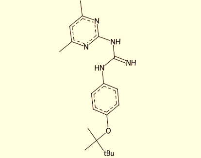 Cc1cc(C)nc(NC(=N)Nc2ccc(OC(C)(C)C(C)(C)C)cc2)n1